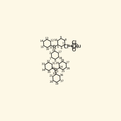 C1CCC(P(C2CCCCC2)C2CCCCC2)CC1.C1CCC(P(C2CCCCC2)C2CCCCC2)CC1.O=C(Cl)Cl.[Ru]